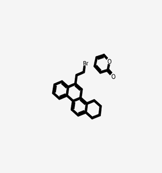 BrCCc1cc2c3c(ccc2c2ccccc12)CCCC3.O=c1cccco1